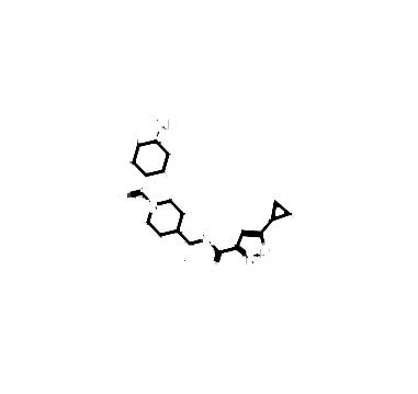 C[C@@H](NC(=O)c1cc(C2CC2)on1)C1CCN(C(=O)[C@H]2CC[C@H](N)CC2)CC1